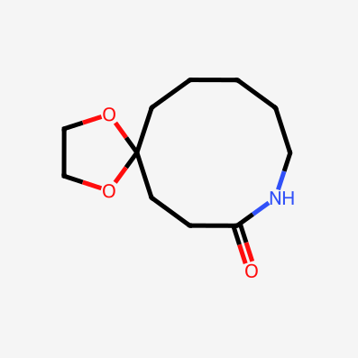 O=C1CCC2(CCCCCN1)OCCO2